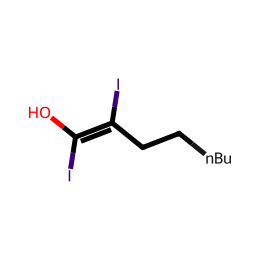 CCCCCC/C(I)=C(/O)I